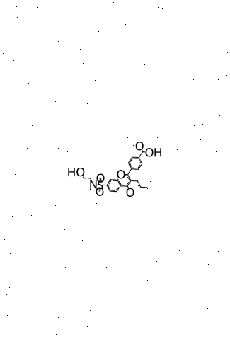 CCCc1c(-c2ccc(C(=O)O)cc2)oc2cc(S(=O)(=O)N(C)CCO)ccc2c1=O